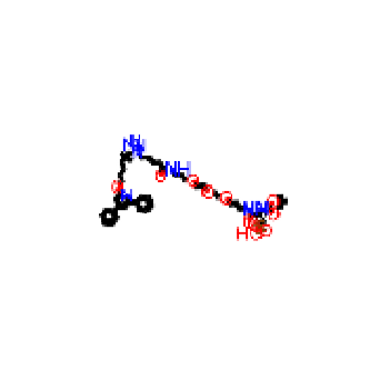 CC(C)(C)OC(=O)N[C@@H](CS(=O)(=O)O)C(=O)NCCCOCCOCCOCCCNC(=O)CCCCn1nnnc1C(C)(C)CCCCOc1cc(-c2ccccc2)cc(-c2ccccc2)n1